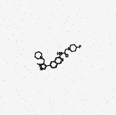 Cn1ncc(-c2ccc3cnc(NC(=O)CN4CCC(F)CC4)cc3c2)c1CN1CCCCC1